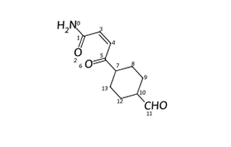 NC(=O)/C=C\C(=O)C1CCC(C=O)CC1